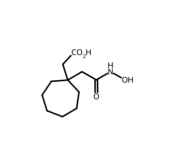 O=C(O)CC1(CC(=O)NO)CCCCCC1